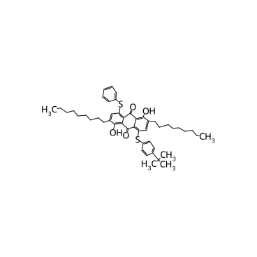 CCCCCCCCCc1cc(Sc2ccccc2)c2c(c1O)C(=O)c1c(Sc3ccc(C(C)(C)C)cc3)cc(CCCCCCCCC)c(O)c1C2=O